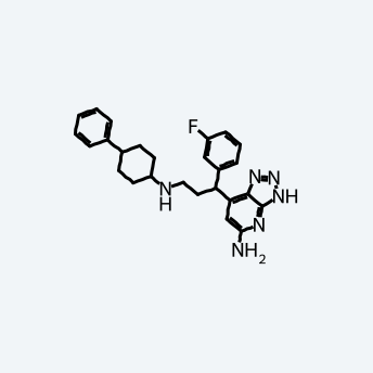 Nc1cc(C(CCNC2CCC(c3ccccc3)CC2)c2cccc(F)c2)c2nn[nH]c2n1